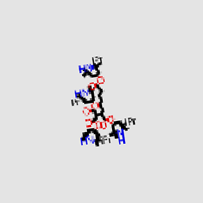 CC(C)C1(C)CC(OC(=O)CCCCCC(C(=O)OC2CC(C)(C)NC(C)(C(C)C)C2)C(C(=O)OC2CC(C)(C)NC(C)(C(C)C)C2)C(=O)OC2CC(C)(C)NC(C)(C(C)C)C2)CC(C)(C)N1